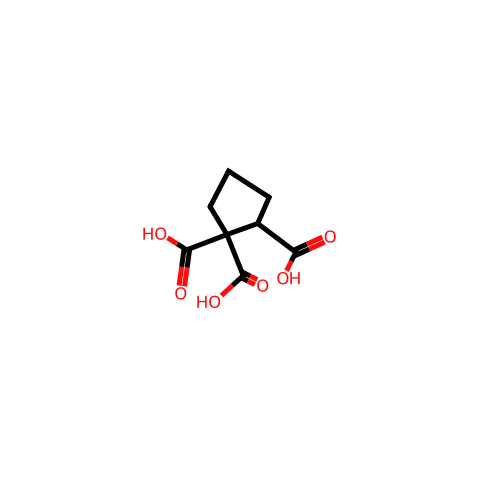 O=C(O)C1CCCC1(C(=O)O)C(=O)O